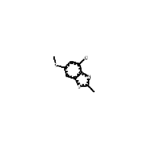 CSc1cc(Cl)c2nc(C)sc2c1